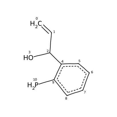 C=CC(O)c1ccccc1P